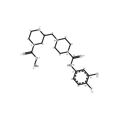 CC(C)(C)OC(=O)N1CCOC(CN2CCN(C(=O)Nc3ccc(F)c(Cl)c3)CC2)C1